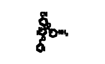 N#Cc1ccc(C2(C(=O)N3CCC[C@@H](N)C3)C=C(OCc3cccnc3)N=N2)cc1